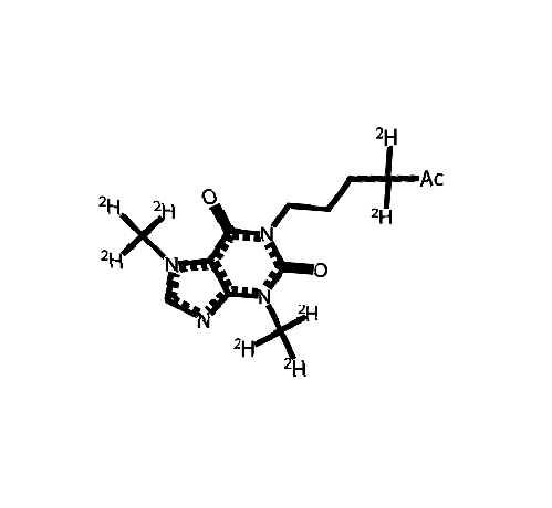 [2H]C([2H])(CCCn1c(=O)c2c(ncn2C([2H])([2H])[2H])n(C([2H])([2H])[2H])c1=O)C(C)=O